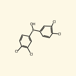 OB(c1ccc(Cl)c(Cl)c1)c1ccc(Cl)c(Cl)c1